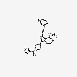 Nc1nccn2c(C3CCN(C(=O)c4ccsc4)CC3)nc(C#Cc3cccnc3)c12